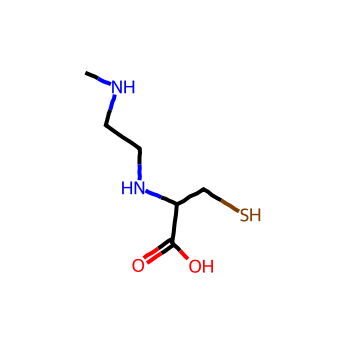 CNCCNC(CS)C(=O)O